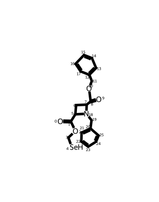 O=C(OC[SeH])C1CC(C(=O)OCc2ccccc2)N1Cc1ccccc1